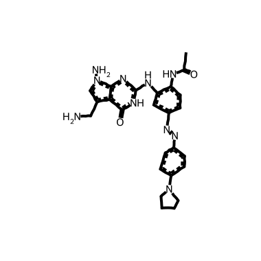 CC(=O)Nc1ccc(/N=N/c2ccc(N3CCCC3)cc2)cc1Nc1nc2c(c(CN)cn2N)c(=O)[nH]1